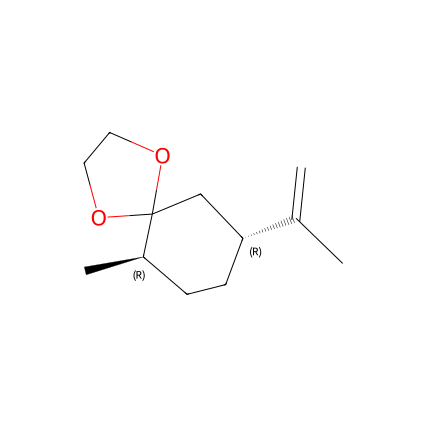 C=C(C)[C@@H]1CC[C@@H](C)C2(C1)OCCO2